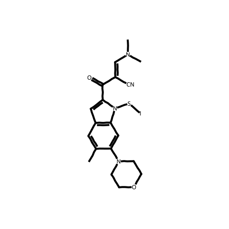 Cc1cc2cc(C(=O)/C(C#N)=C/N(C)C)n(SI)c2cc1N1CCOCC1